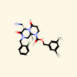 NC[C@H]1C(=O)N(Cc2ccccc2Cl)C[C@@H]2N(C(=O)OCc3cc(C(F)(F)F)cc(C(F)(F)F)c3)CCC(=O)N21